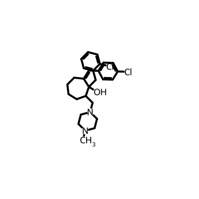 CN1CCN(CC2CCCCC(=Cc3ccc(Cl)cc3)C2(O)Cc2ccccc2Cl)CC1